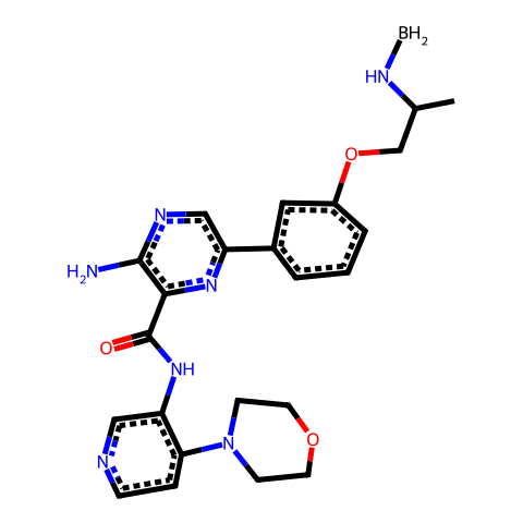 BNC(C)COc1cccc(-c2cnc(N)c(C(=O)Nc3cnccc3N3CCOCC3)n2)c1